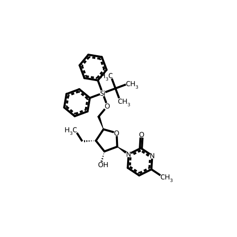 CC[C@H]1[C@@H](O)[C@H](n2ccc(C)nc2=O)O[C@@H]1CO[Si](c1ccccc1)(c1ccccc1)C(C)(C)C